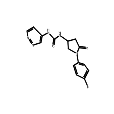 O=C(Nc1ccnnc1)NC1CC(=O)N(c2ccc(F)cc2)C1